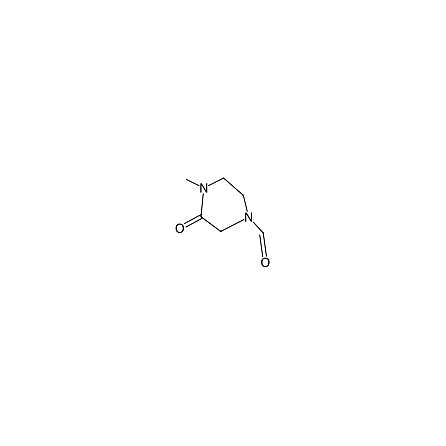 CN1CCN(C=O)CC1=O